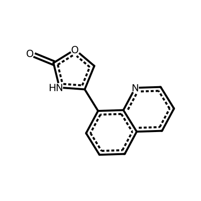 O=c1[nH]c(-c2cccc3cccnc23)co1